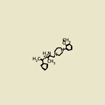 C=C(S/C(C)=C(\N)CN1CCCN(c2ccccc2OC)CC1)c1ccccc1